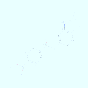 COC(=O)c1ccc(C(=O)Nc2ccc3sc(C)nc3c2)cc1